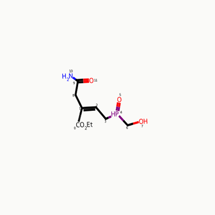 CCOC(=O)/C(=C\C[PH](=O)CO)CC(N)=O